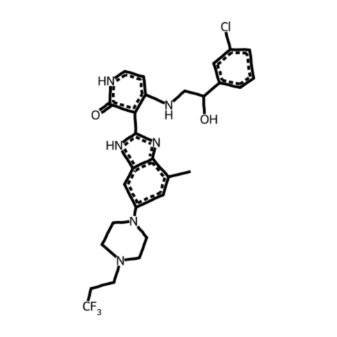 Cc1cc(N2CCN(CCC(F)(F)F)CC2)cc2[nH]c(-c3c(NCC(O)c4cccc(Cl)c4)cc[nH]c3=O)nc12